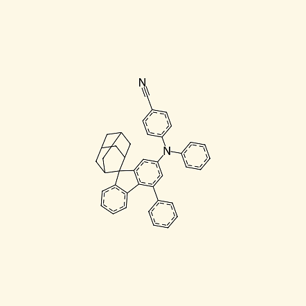 N#Cc1ccc(N(c2ccccc2)c2cc(-c3ccccc3)c3c(c2)C2(c4ccccc4-3)C3CC4CC(C3)CC2C4)cc1